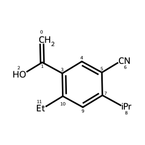 C=C(O)c1cc(C#N)c(C(C)C)cc1CC